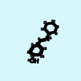 Oc1ccc(C=NC2CCCCC2)cc1